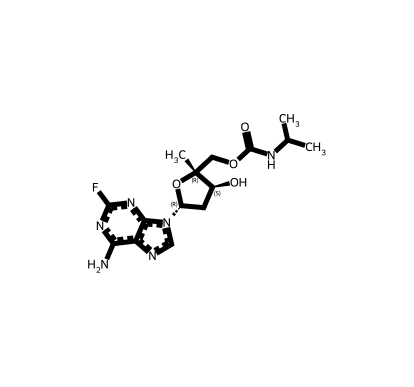 CC(C)NC(=O)OC[C@@]1(C)O[C@@H](n2cnc3c(N)nc(F)nc32)C[C@@H]1O